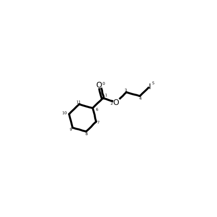 O=C(OCCI)C1CCCCC1